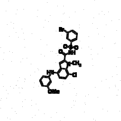 COc1cccc(Nc2ccc(Cl)c3c2cc(C(=O)NS(=O)(=O)c2cccc(Br)c2)n3C)c1